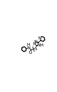 CC(C)(Sc1nnc(-c2ccccn2)[nH]1)C(=O)Nc1ccccc1